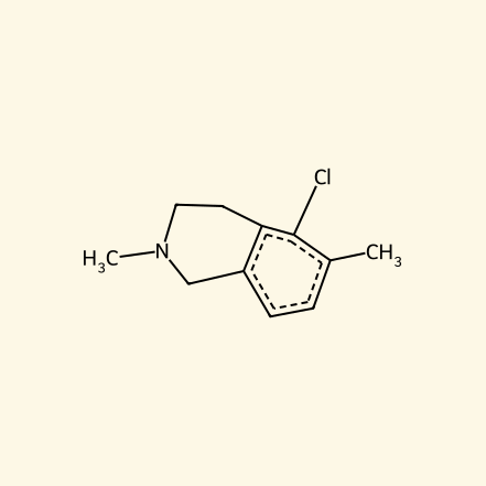 Cc1ccc2c(c1Cl)CCN(C)C2